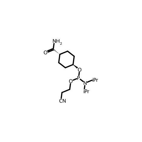 CC(C)N(C(C)C)P(OCCC#N)O[C@H]1CC[C@H](C(N)=O)CC1